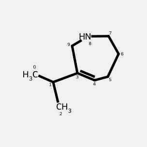 CC(C)C1=CCCCNC1